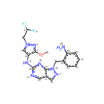 COc1nn(CC(F)F)cc1Nc1ncc2cnn(Cc3ccccc3N)c2n1